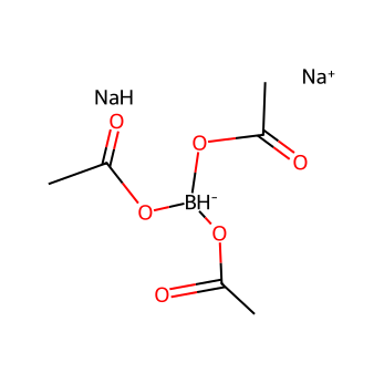 CC(=O)O[BH-](OC(C)=O)OC(C)=O.[Na+].[NaH]